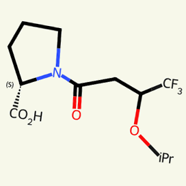 CC(C)OC(CC(=O)N1CCC[C@H]1C(=O)O)C(F)(F)F